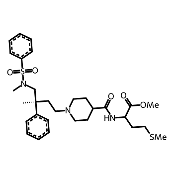 COC(=O)C(CCSC)NC(=O)C1CCN(CC[C@](C)(CN(C)S(=O)(=O)c2ccccc2)c2ccccc2)CC1